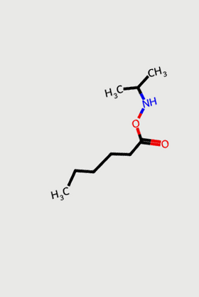 CCCCCC(=O)ONC(C)C